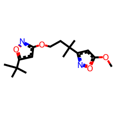 COc1cc(C(C)(C)CCOc2cc(C(C)(C)C)on2)no1